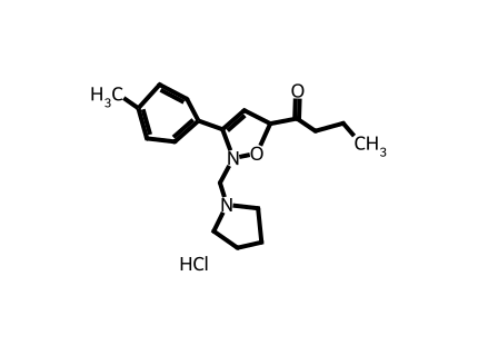 CCCC(=O)C1C=C(c2ccc(C)cc2)N(CN2CCCC2)O1.Cl